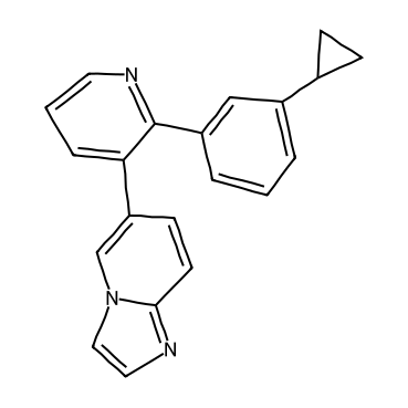 c1cc(-c2ncccc2-c2ccc3nccn3c2)cc(C2CC2)c1